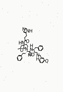 CC[C@H](C)C1(NC(=O)CCc2cnc[nH]2)CCN([C@@H](CCc2ccccc2)C(=O)N[C@@H](Cc2ccccc2)[C@@H](O)CNCc2cccc(OC)c2)C1=O